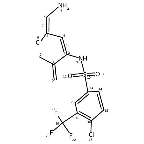 C=C(C)/C(=C\C(Cl)=C/N)NS(=O)(=O)c1ccc(Cl)c(C(F)(F)F)c1